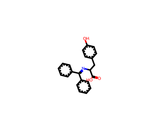 O=C(O)C(Cc1ccc(O)cc1)N=C(c1ccccc1)c1ccccc1